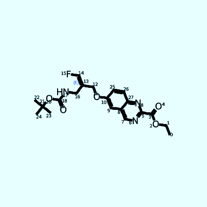 CCOC(=O)c1ncc2cc(OC/C(=C/F)CNC(=O)OC(C)(C)C)ccc2n1